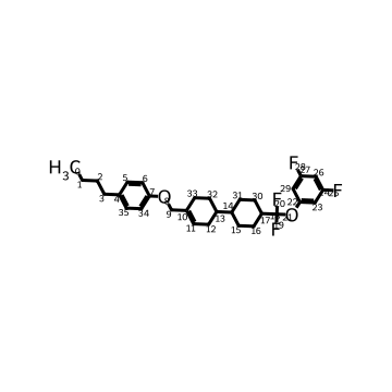 CCCCc1ccc(OCC2=CCC(C3CCC(C(F)(F)Oc4cc(F)cc(F)c4)CC3)CC2)cc1